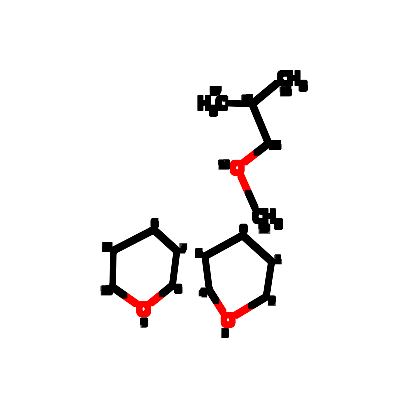 C1CCOCC1.C1CCOCC1.COCC(C)C